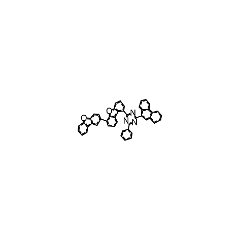 c1ccc(-c2nc(-c3cc4ccccc4c4ccccc34)nc(-c3cccc4oc5c(-c6ccc7oc8ccccc8c7c6)cccc5c34)n2)cc1